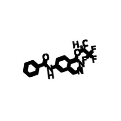 C[C@@H](Oc1nncc2cc(NC(=O)c3ccccc3)ccc12)C(F)(F)F